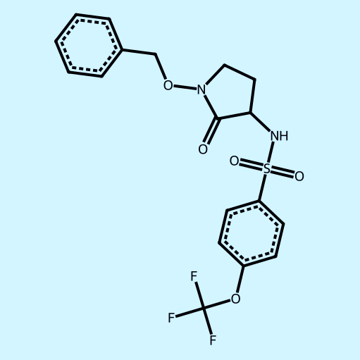 O=C1C(NS(=O)(=O)c2ccc(OC(F)(F)F)cc2)CCN1OCc1ccccc1